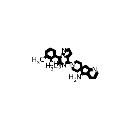 Cc1cccc(-c2c(C)nc(N3CCC4(CC3)Cc3ncccc3[C@H]4N)c3ccnn23)c1C